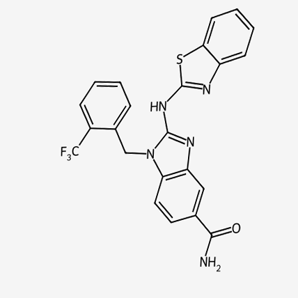 NC(=O)c1ccc2c(c1)nc(Nc1nc3ccccc3s1)n2Cc1ccccc1C(F)(F)F